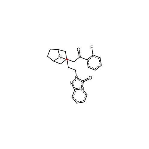 O=C(CC1CC2CCC(C1)N2CCCn1nc2ccccn2c1=O)c1ccccc1F